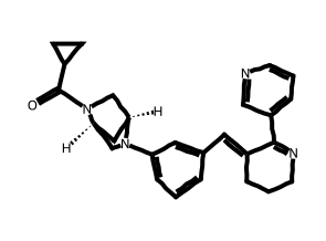 O=C(C1CC1)N1C[C@@H]2C[C@H]1CN2c1cccc(C=C2CCCN=C2c2cccnc2)c1